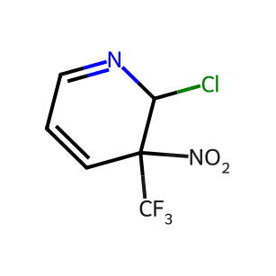 O=[N+]([O-])C1(C(F)(F)F)C=CC=NC1Cl